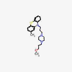 COCCCN1CCN(CCCN2c3ccccc3Sc3ccc(C)cc32)CC1